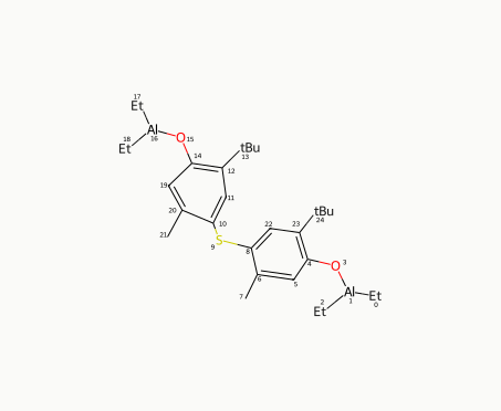 C[CH2][Al]([CH2]C)[O]c1cc(C)c(Sc2cc(C(C)(C)C)c([O][Al]([CH2]C)[CH2]C)cc2C)cc1C(C)(C)C